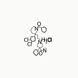 CN(C)C(=O)C1(c2ccccc2)CCN(CCCC2(c3ccc(Cl)c(Cl)c3)CCCCN(C(=O)c3ccccc3)C2)CC1.Cl.O